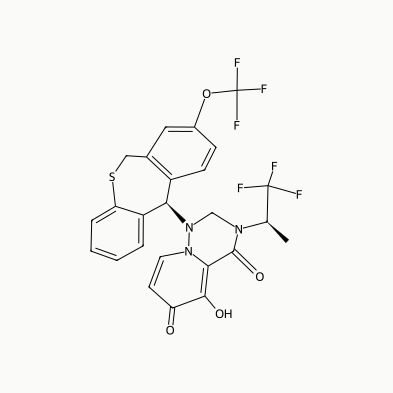 C[C@@H](N1CN([C@@H]2c3ccc(OC(F)(F)F)cc3CSc3ccccc32)n2ccc(=O)c(O)c2C1=O)C(F)(F)F